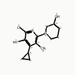 N#Cc1c(Cl)nc(N2CCCC(O)C2)c(C#N)c1C1CC1